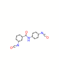 O=C=Nc1ccc(NC(=O)c2cccc(N=C=O)c2)cc1